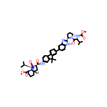 COC(=O)N[C@H](C(=O)N1CCC[C@H]1c1nc2cc(-c3ccc4c(c3)C(C)(C)c3cc(NC(=O)[C@@H]5C[C@@H]6CCCC[C@@]67N(C(=O)OC)[C@@H](C(C)C)C(=O)N57)ccc3-4)ccc2[nH]1)C(C)C